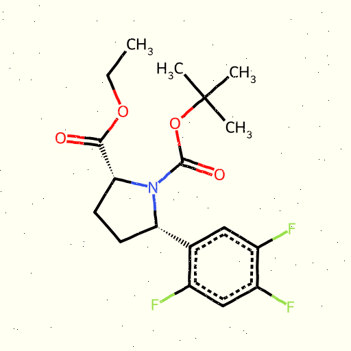 CCOC(=O)[C@H]1CC[C@@H](c2cc(F)c(F)cc2F)N1C(=O)OC(C)(C)C